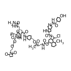 Cc1cccc2c(OC(=O)NCCN(C)C(=O)OCc3ccc(NC(=O)[C@H](CCCNC(N)=O)NC(=O)[C@@H](NC(=O)OCCOCCN4C(=O)C=CC4=O)C(C)C)cc3)cc3c(c12)[C@H](CCl)CN3C(=O)c1cc2cc(NC(=O)c3ccc(O)cc3)ncc2[nH]1